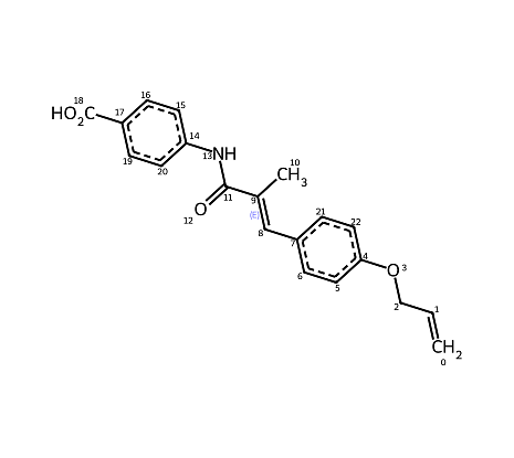 C=CCOc1ccc(/C=C(\C)C(=O)Nc2ccc(C(=O)O)cc2)cc1